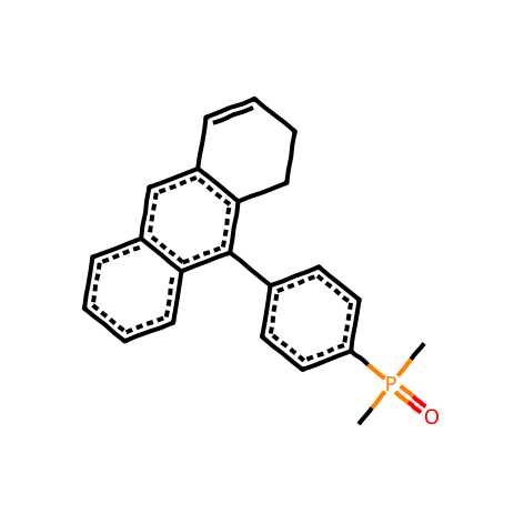 CP(C)(=O)c1ccc(-c2c3c(cc4ccccc24)C=CCC3)cc1